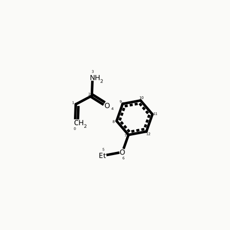 C=CC(N)=O.CCOc1ccccc1